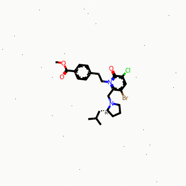 COC(=O)c1ccc(CCn2c(CN3CCC[C@@H]3CC(C)C)c(Br)cc(Cl)c2=O)cc1